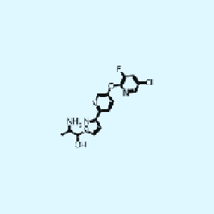 CC(N)[C@H](O)n1ccc(-c2ccc(Oc3ncc(Cl)cc3F)cn2)n1